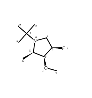 CO[C@@H]1[C@H](F)CN(C(C)(C)C)[C@@H]1C